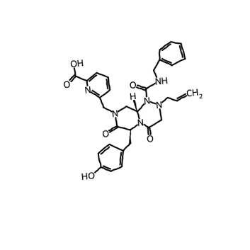 C=CCN1CC(=O)N2[C@@H](Cc3ccc(O)cc3)C(=O)N(Cc3cccc(C(=O)O)n3)C[C@@H]2N1C(=O)NCc1ccccc1